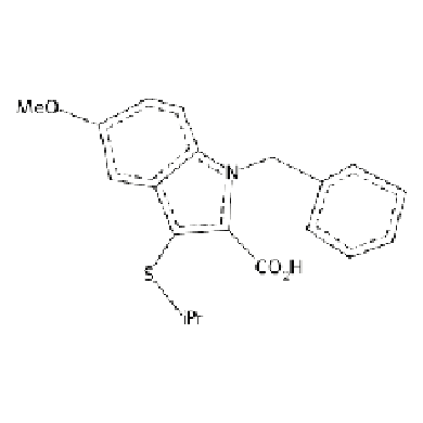 COc1ccc2c(c1)c(SC(C)C)c(C(=O)O)n2Cc1ccccc1